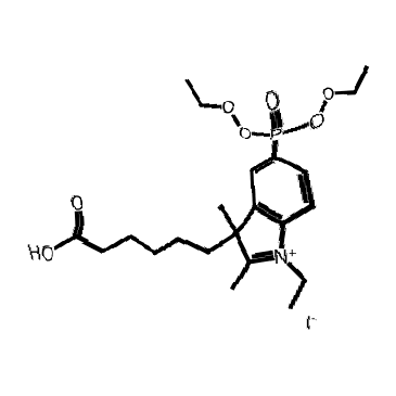 CCOOP(=O)(OOCC)c1ccc2c(c1)C(C)(CCCCCC(=O)O)C(C)=[N+]2CC.[I-]